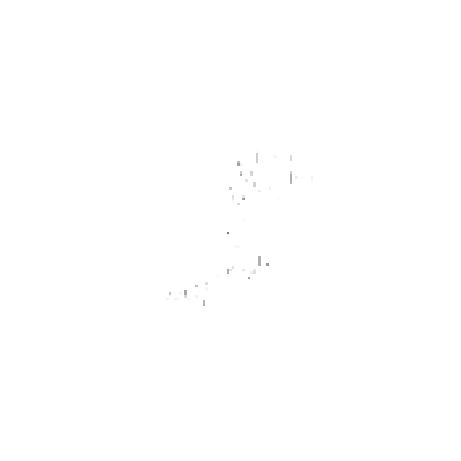 CCCCCCCC(=O)OCC(COC)OC(=O)CCCN(CCCC(=O)OC(COC(=O)CCCCCCC)COC(=O)CCCCCCC)C(=O)SCCCN(C)C